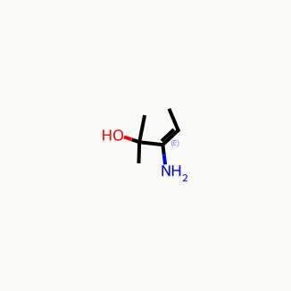 C/C=C(/N)C(C)(C)O